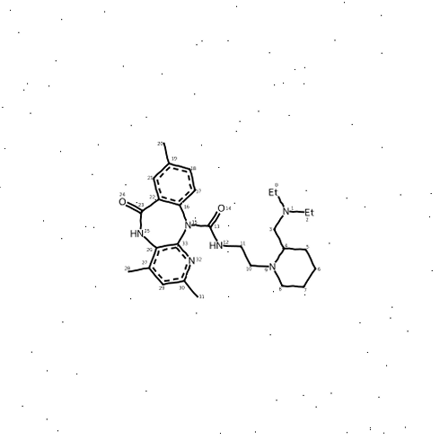 CCN(CC)CC1CCCCN1CCNC(=O)N1c2ccc(C)cc2C(=O)Nc2c(C)cc(C)nc21